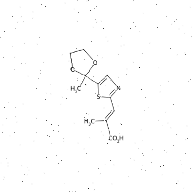 CC(=Cc1ncc(C2(C)OCCO2)s1)C(=O)O